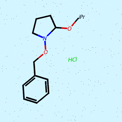 CC(C)OC1CCCN1OCc1ccccc1.Cl